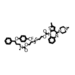 Cc1cc2c(s1)N(C(=O)OCCSSCCOC(=O)N(C)CCC(Oc1ccc(C(F)(F)F)cc1)c1ccccc1)c1ccccc1N=C2N1CCN(C)CC1